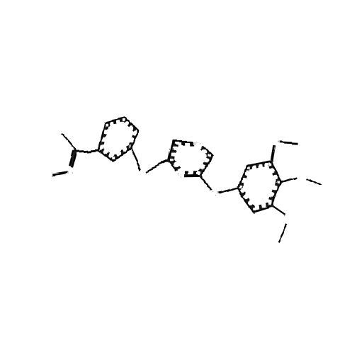 COc1cc(Nc2cncc(Oc3cccc(C(C)=NO)c3)n2)cc(OC)c1OC